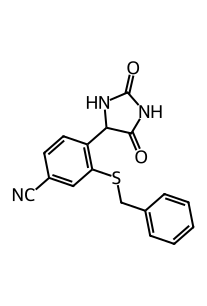 N#Cc1ccc(C2NC(=O)NC2=O)c(SCc2ccccc2)c1